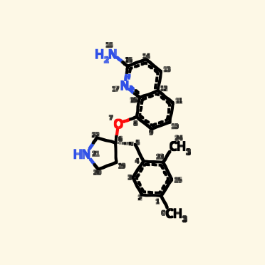 Cc1ccc(C[C@]2(Oc3cccc4ccc(N)nc34)CCNC2)c(C)c1